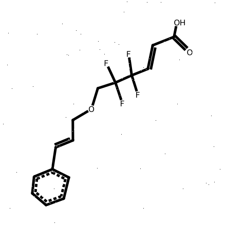 O=C(O)C=CC(F)(F)C(F)(F)COCC=Cc1ccccc1